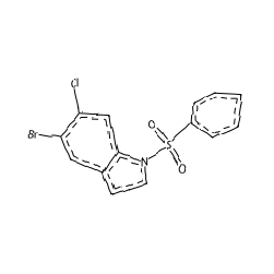 O=S(=O)(c1ccccc1)n1ccc2cc(Br)c(Cl)cc21